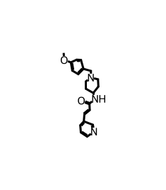 COc1ccc(CN2CCC(NC(=O)C=Cc3cccnc3)CC2)cc1